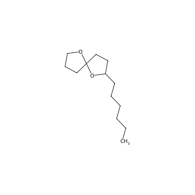 CCCCCCC1CCC2(CCCO2)O1